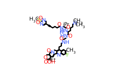 CC[C@@]1(O)C(=O)OCc2c1cc1n(c2=O)Cc2c-1nc1cc(F)c(C)cc1c2CCCNC(=O)CNC(=O)C(CCCCN(C)C)NC(=O)C(NC(=O)CCCC#Cc1cnc(S(C)(=O)=O)nc1)C(C)C